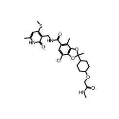 CNC(=O)COC1CCC(C2(C)Oc3c(Cl)cc(C(=O)NCc4c(SC)cc(C)[nH]c4=O)c(C)c3O2)CC1